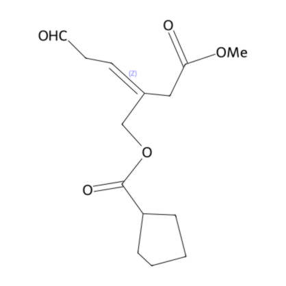 COC(=O)C/C(=C/CC=O)COC(=O)C1CCCC1